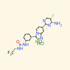 Cl.Cl.Nc1nc(-c2ccn3c(-c4cccc(NC(=O)NCC(F)(F)F)c4)cnc3c2)ncc1F